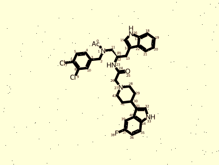 CC(=O)N(Cc1ccc(Cl)c(Cl)c1)C[C@@H](Cc1c[nH]c2ccccc12)NC(=O)CN1CCC(c2c[nH]c3ccc(F)cc23)CC1